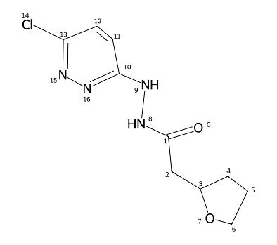 O=C(CC1CCCO1)NNc1ccc(Cl)nn1